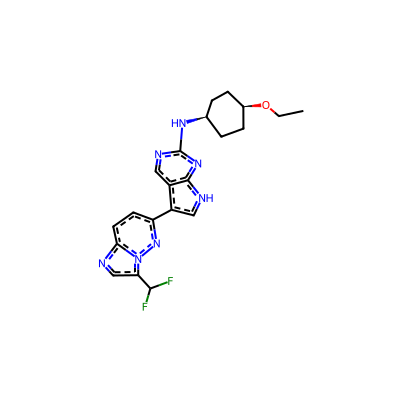 CCO[C@H]1CC[C@@H](Nc2ncc3c(-c4ccc5ncc(C(F)F)n5n4)c[nH]c3n2)CC1